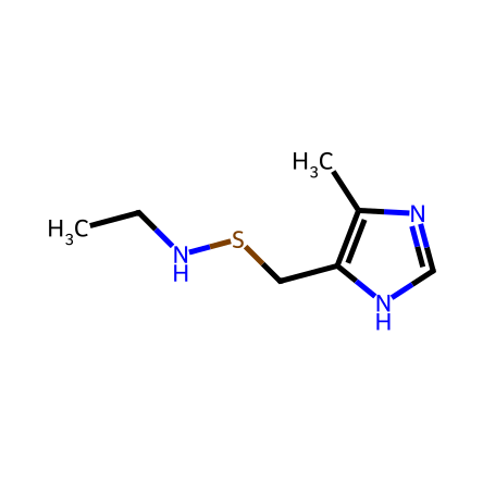 CCNSCc1[nH]cnc1C